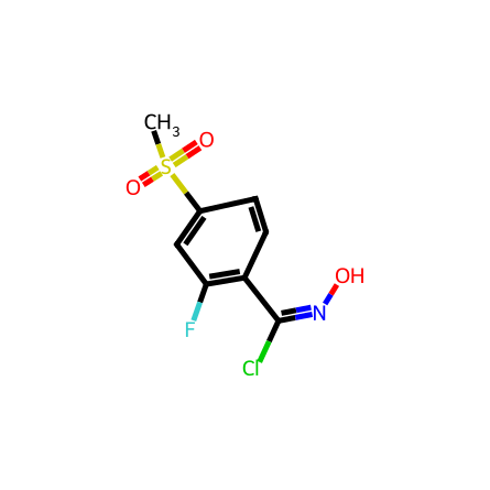 CS(=O)(=O)c1ccc(/C(Cl)=N\O)c(F)c1